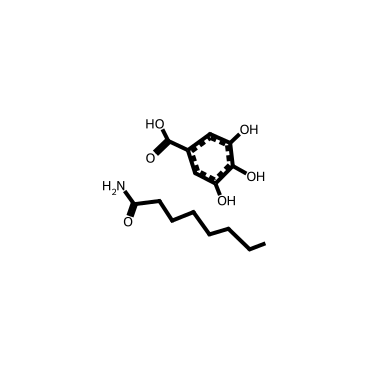 CCCCCCCC(N)=O.O=C(O)c1cc(O)c(O)c(O)c1